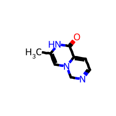 CC1=CN2CN=CC=C2C(=O)N1